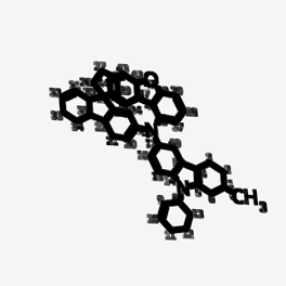 CC1CCC2=C(C1)N(C1C=CCCC1)C1C=CC(N(C3=CCC4C(=C3)C3(CCCC3)C3C=CCCC43)C3=CC=CC4OC5C=CC=CC5C34)CC21